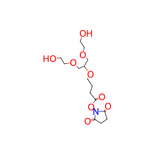 O=C(CCCOC(COCCO)COCCO)ON1C(=O)CCC1=O